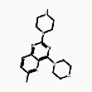 Cc1ccc2nc(N3CCNCC3)nc(N3CCOCC3)c2n1